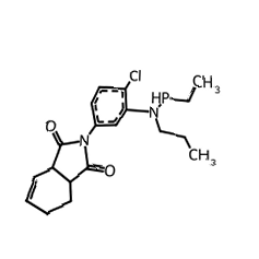 CCCN(PCC)c1cc(N2C(=O)C3C=CCCC3C2=O)ccc1Cl